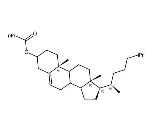 CCCC(=O)OC1CC[C@@]2(C)C(=CCC3C2CC[C@@]2(C)C3CC[C@@H]2[C@H](C)CCCC(C)C)C1